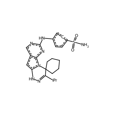 CC(C)C1=NNc2cc3cnc(Nc4ccc(S(N)(=O)=O)cc4)nc3n2C12CCCCC2